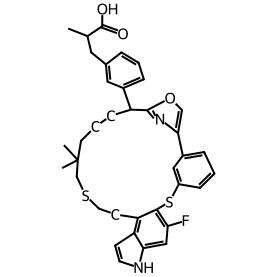 CC(Cc1cccc(C2CCCC(C)(C)CSCCc3c(c(F)cc4[nH]ccc34)Sc3cccc(c3)-c3coc2n3)c1)C(=O)O